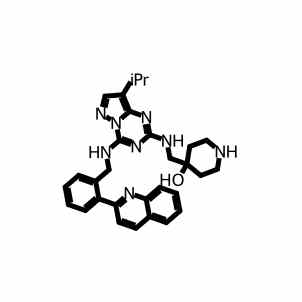 CC(C)c1cnn2c(NCc3ccccc3-c3ccc4ccccc4n3)nc(NCC3(O)CCNCC3)nc12